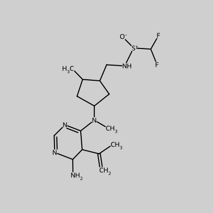 C=C(C)C1C(N(C)C2CC(C)C(CN[S+]([O-])C(F)F)C2)=NC=NC1N